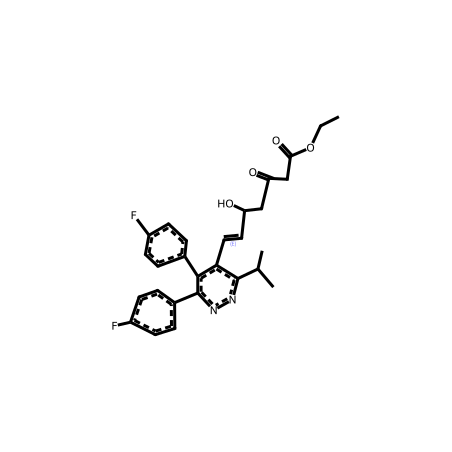 CCOC(=O)CC(=O)CC(O)/C=C/c1c(C(C)C)nnc(-c2ccc(F)cc2)c1-c1ccc(F)cc1